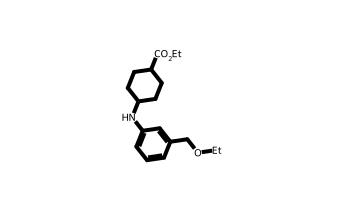 CCOCc1cccc(NC2CCC(C(=O)OCC)CC2)c1